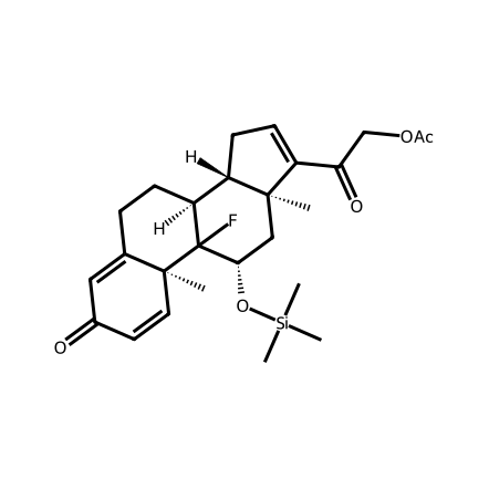 CC(=O)OCC(=O)C1=CC[C@H]2[C@@H]3CCC4=CC(=O)C=C[C@]4(C)C3(F)[C@@H](O[Si](C)(C)C)C[C@]12C